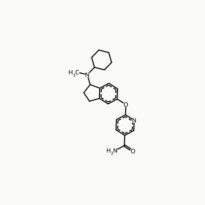 CN(C1CCCCC1)C1CCc2cc(Oc3ccc(C(N)=O)cn3)ccc21